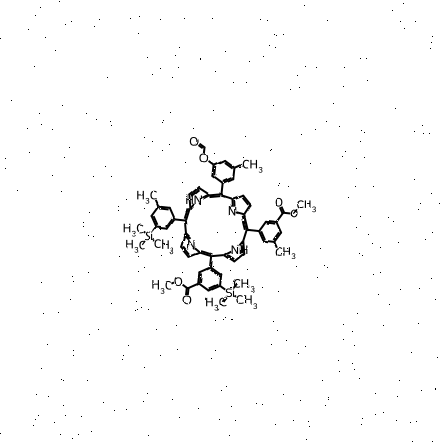 COC(=O)c1cc(C)cc(-c2c3nc(c(-c4cc(C)cc(OC=O)c4)c4ccc([nH]4)c(-c4cc(C)cc([Si](C)(C)C)c4)c4nc(c(-c5cc(C(=O)OC)cc([Si](C)(C)C)c5)c5ccc2[nH]5)C=C4)C=C3)c1